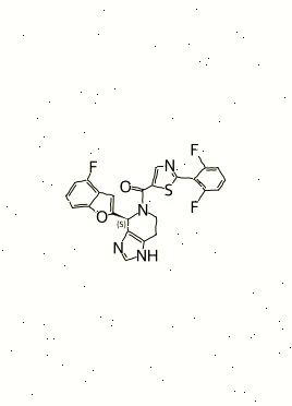 O=C(c1cnc(-c2c(F)cccc2F)s1)N1CCc2[nH]cnc2[C@H]1c1cc2c(F)cccc2o1